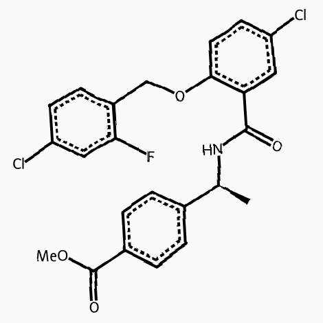 COC(=O)c1ccc([C@H](C)NC(=O)c2cc(Cl)ccc2OCc2ccc(Cl)cc2F)cc1